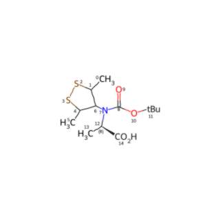 CC1SSC(C)C1N(C(=O)OC(C)(C)C)[C@H](C)C(=O)O